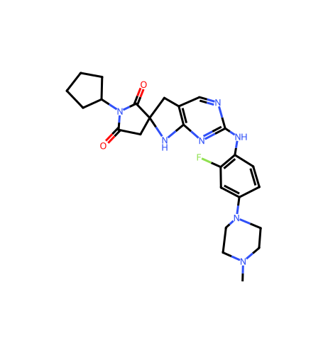 CN1CCN(c2ccc(Nc3ncc4c(n3)NC3(CC(=O)N(C5CCCC5)C3=O)C4)c(F)c2)CC1